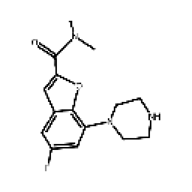 CN(C)C(=O)c1cc2cc(F)cc(N3CCNCC3)c2o1